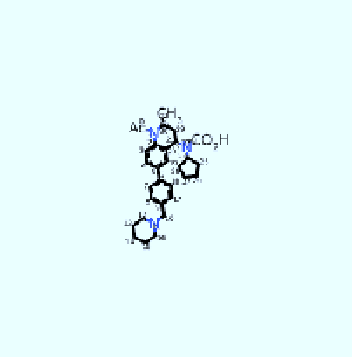 CC(=O)N1c2ccc(-c3ccc(CN4CCCCC4)cc3)cc2[C@@H](N(C(=O)O)C2CCCC2)C[C@H]1C